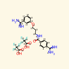 N=C(N)c1ccc(C(=O)NCCCOc2cccc(C(=N)N)c2)cc1.O=C(O)C(F)(F)F.O=C(O)C(F)(F)F